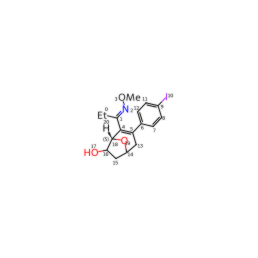 CCC(=NOC)C1=C(c2ccc(I)cc2)CC2CC(O)[C@H]1O2